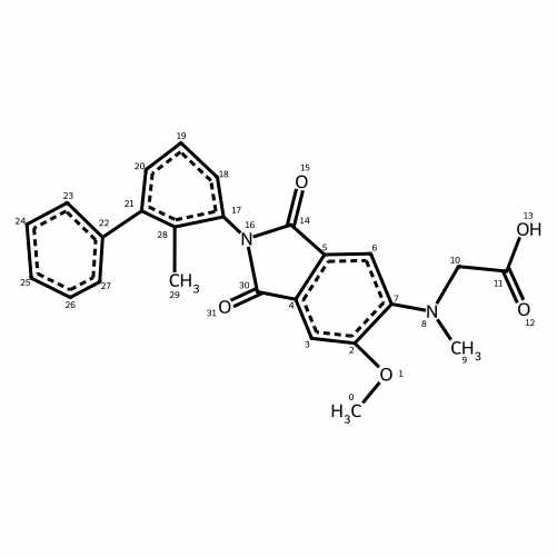 COc1cc2c(cc1N(C)CC(=O)O)C(=O)N(c1cccc(-c3ccccc3)c1C)C2=O